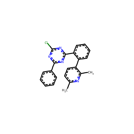 Cc1ccc(-c2ccccc2-c2nc(Cl)nc(-c3ccccc3)n2)c(C)n1